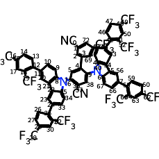 N#Cc1cc(-c2cc(-n3c4ccc(-c5ccc(C(F)(F)F)cc5C(F)(F)F)cc4c4cc(-c5ccc(C(F)(F)F)cc5C(F)(F)F)ccc43)c(C#N)cc2-n2c3ccc(-c4ccc(C(F)(F)F)cc4C(F)(F)F)cc3c3cc(-c4ccc(C(F)(F)F)cc4C(F)(F)F)ccc32)cc(C(F)(F)F)c1